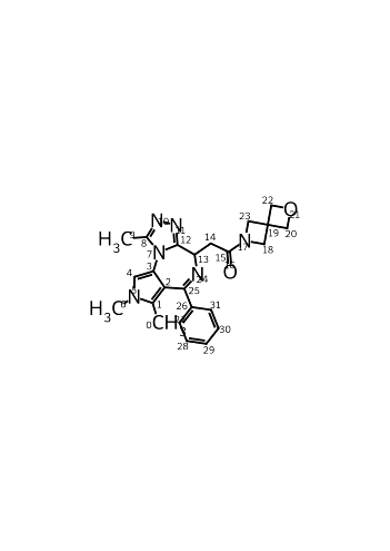 Cc1c2c(cn1C)-n1c(C)nnc1C(CC(=O)N1CC3(COC3)C1)N=C2c1ccccc1